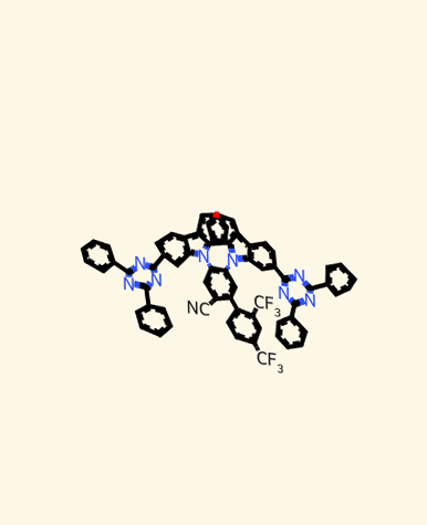 N#Cc1cc(-n2c3ccccc3c3ccc(-c4nc(-c5ccccc5)nc(-c5ccccc5)n4)cc32)c(-n2c3ccccc3c3ccc(-c4nc(-c5ccccc5)nc(-c5ccccc5)n4)cc32)cc1-c1ccc(C(F)(F)F)cc1C(F)(F)F